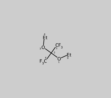 CCOC(OCC)(C(F)(F)F)C(F)(F)F